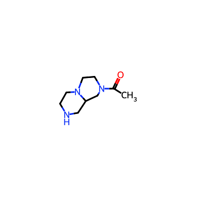 CC(=O)N1CCN2CCNCC2C1